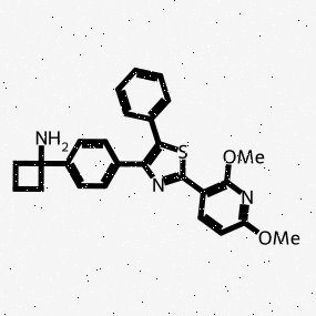 COc1ccc(-c2nc(-c3ccc(C4(N)CCC4)cc3)c(-c3ccccc3)s2)c(OC)n1